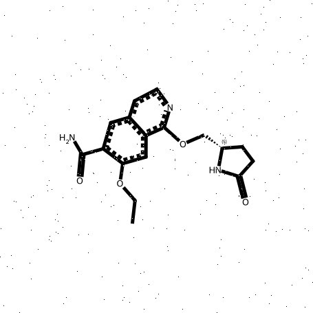 CCOc1cc2c(OC[C@@H]3CCC(=O)N3)nccc2cc1C(N)=O